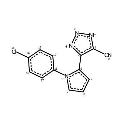 N#Cc1[nH]nnc1-c1cccn1-c1ccc(Cl)cc1